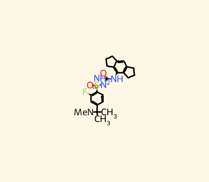 CNC(C)(C)c1ccc([S@@](N)(=O)=NC(=O)Nc2c3c(cc4c2CCC4)CCC3)c(F)c1